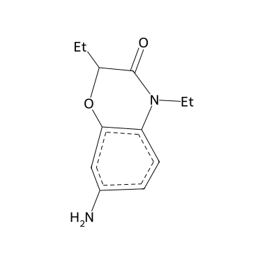 CCC1Oc2cc(N)ccc2N(CC)C1=O